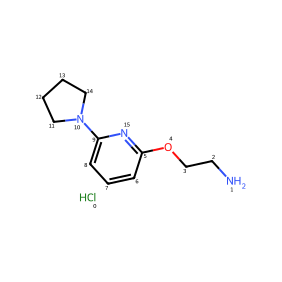 Cl.NCCOc1cccc(N2CCCC2)n1